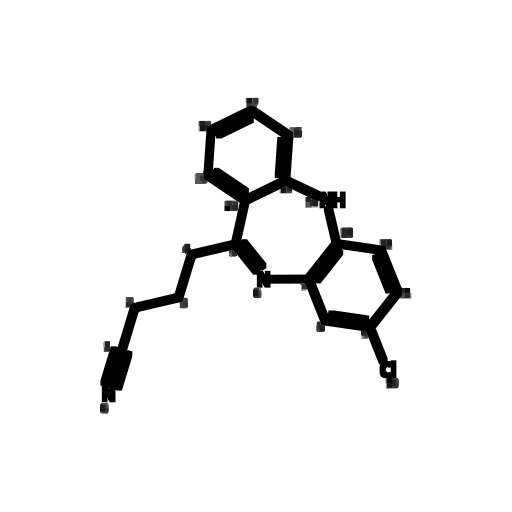 N#CCCCC1=Nc2cc(Cl)ccc2Nc2ccccc21